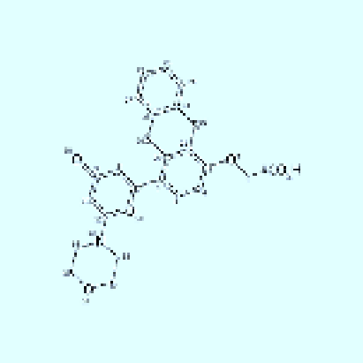 O=C(O)COc1ccc(-c2cc(=O)cc(N3CCOCC3)o2)c2c1Sc1ccccc1S2